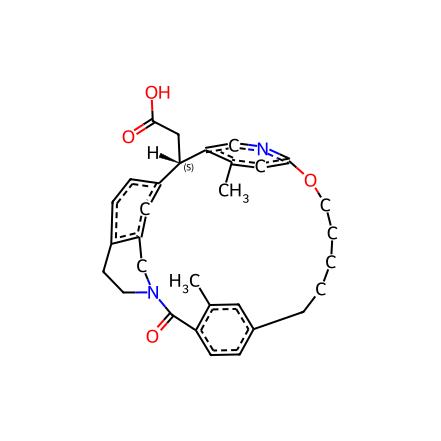 Cc1cc2ccc1C(=O)N1CCc3ccc(cc3C1)[C@H](CC(=O)O)c1cnc(cc1C)OCCCCC2